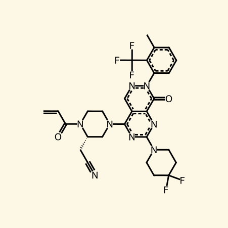 C=CC(=O)N1CCN(c2nc(N3CCC(F)(F)CC3)nc3c(=O)n(-c4cccc(C)c4C(F)(F)F)ncc23)C[C@@H]1CC#N